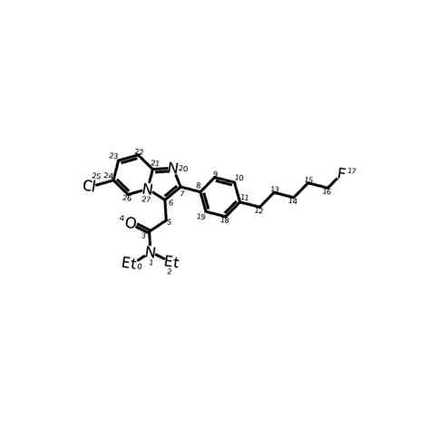 CCN(CC)C(=O)Cc1c(-c2ccc(CCCCCF)cc2)nc2ccc(Cl)cn12